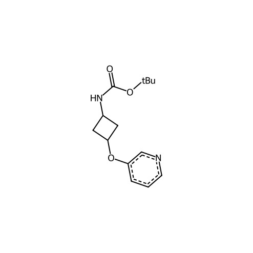 CC(C)(C)OC(=O)NC1CC(Oc2cccnc2)C1